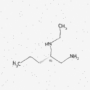 CCC[C@@H](CN)NCC